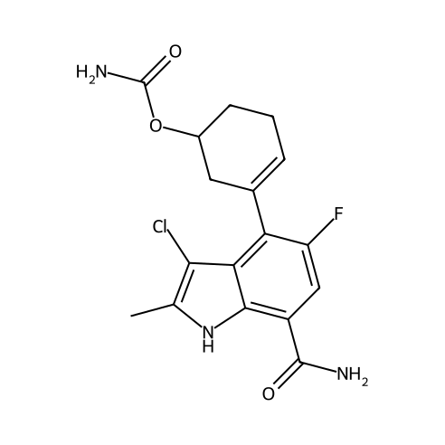 Cc1[nH]c2c(C(N)=O)cc(F)c(C3=CCCC(OC(N)=O)C3)c2c1Cl